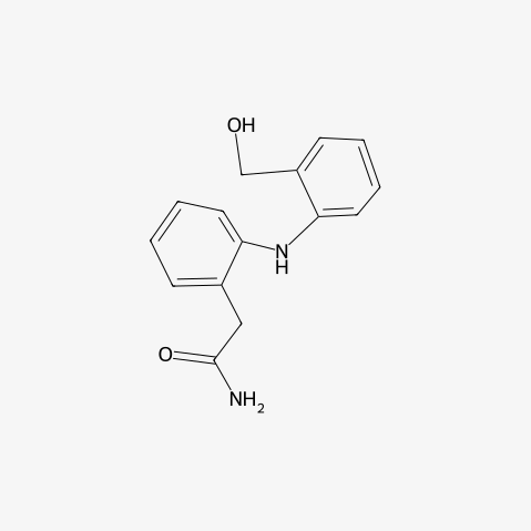 NC(=O)Cc1ccccc1Nc1ccccc1CO